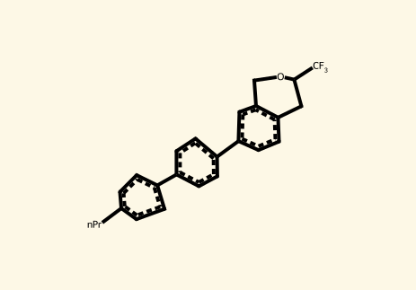 CCCc1ccc(-c2ccc(-c3ccc4c(c3)COC(C(F)(F)F)C4)cc2)cc1